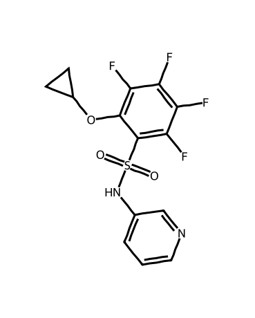 O=S(=O)(Nc1cccnc1)c1c(F)c(F)c(F)c(F)c1OC1CC1